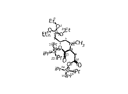 CCO[Si](CCCN(C)C(CC(=O)O[Si](C(C)C)(C(C)C)C(C)C)C(=O)O[Si](C(C)C)(C(C)C)C(C)C)(OCC)OCC